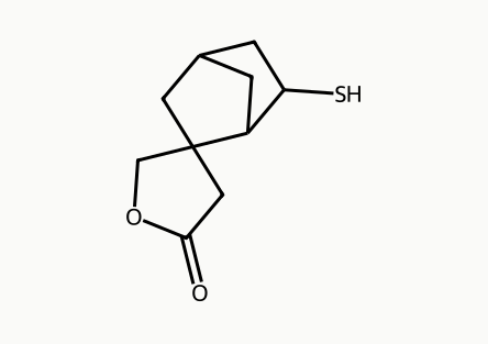 O=C1CC2(CO1)CC1CC(S)C2C1